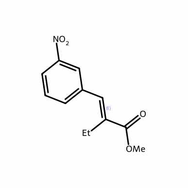 CC/C(=C\c1cccc([N+](=O)[O-])c1)C(=O)OC